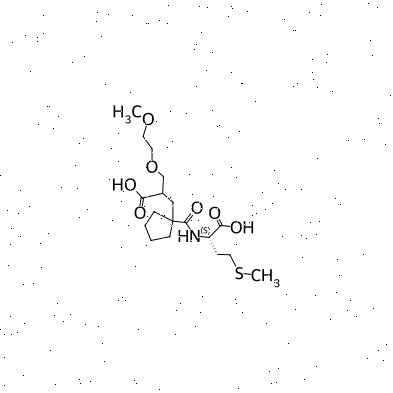 COCCOCC(CC1(C(=O)N[C@@H](CCSC)C(=O)O)CCCC1)C(=O)O